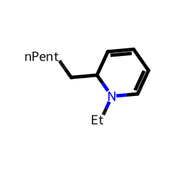 CCCCCCC1C=CC=CN1CC